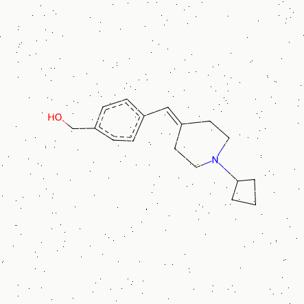 OCc1ccc(C=C2CCN(C3CCC3)CC2)cc1